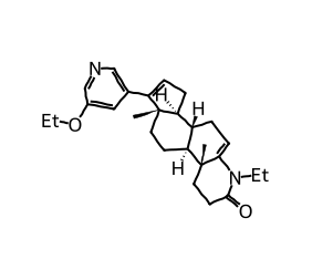 CCOc1cncc(C2=CC[C@H]3[C@@H]4CC=C5N(CC)C(=O)CC[C@]5(C)[C@H]4CC[C@]23C)c1